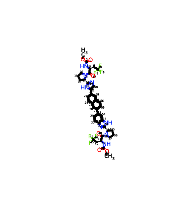 COC(=O)N[C@@H](CC(F)(F)F)C(=O)N1CCC[C@H]1c1ncc(-c2ccc3cc(-c4ccc5nc([C@@H]6CCCN6C(=O)[C@H](CC(F)(F)F)NC(=O)OC)[nH]c5c4)ccc3c2)[nH]1